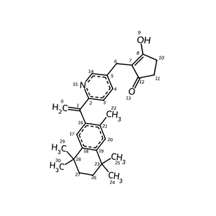 C=C(c1ccc(CC2=C(O)CCC2=O)cn1)c1cc2c(cc1C)C(C)(C)CCC2(C)C